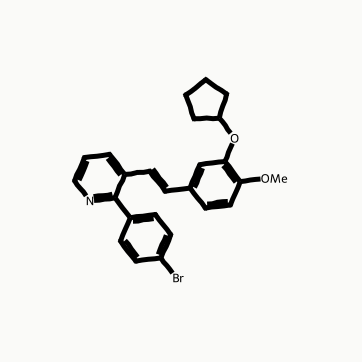 COc1ccc(C=Cc2cccnc2-c2ccc(Br)cc2)cc1OC1CCCC1